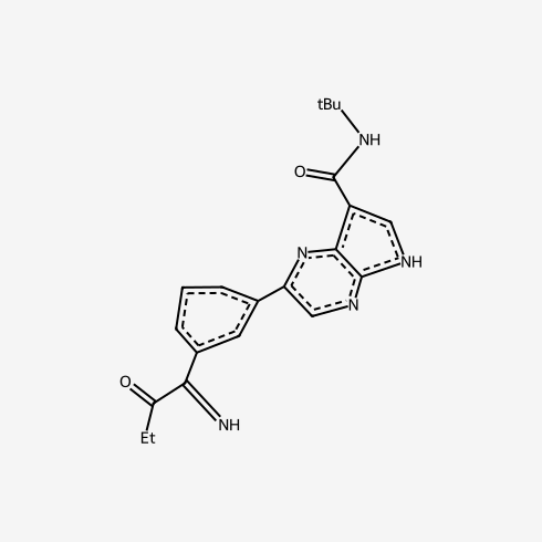 CCC(=O)C(=N)c1cccc(-c2cnc3[nH]cc(C(=O)NC(C)(C)C)c3n2)c1